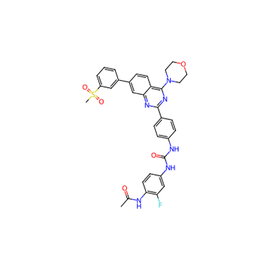 CC(=O)Nc1ccc(NC(=O)Nc2ccc(-c3nc(N4CCOCC4)c4ccc(-c5cccc(S(C)(=O)=O)c5)cc4n3)cc2)cc1F